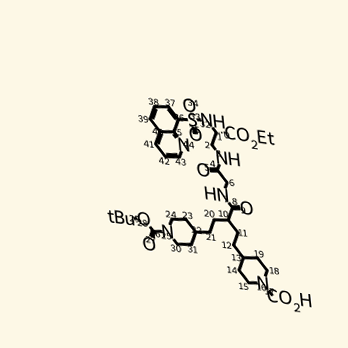 CCOC(=O)[C@H](CNC(=O)CNC(=O)C(CCC1CCN(C(=O)O)CC1)CCC1CCN(C(=O)OC(C)(C)C)CC1)NS(=O)(=O)c1cccc2cccnc12